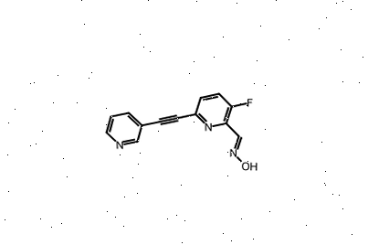 ON=Cc1nc(C#Cc2cccnc2)ccc1F